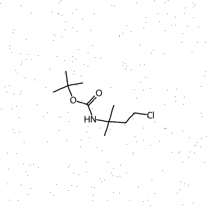 CC(C)(CCCl)NC(=O)OC(C)(C)C